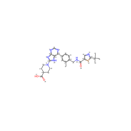 Cc1cc(-c2ncnc3nc(N4CCC(C(=O)O)CC4)[nH]c23)ccc1CNC(=O)c1cnc(C(C)(C)C)s1